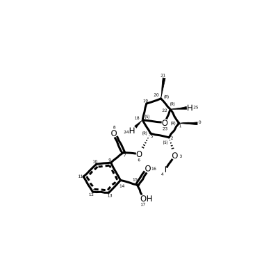 C[C@H]1[C@H](OI)[C@H](OC(=O)c2ccccc2C(=O)O)[C@@H]2C[C@@H](C)[C@H]1O2